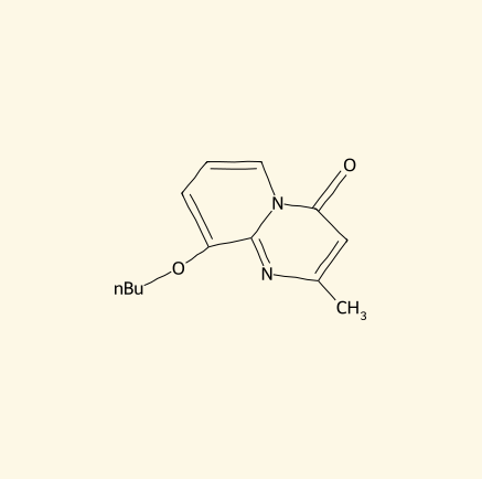 CCCCOc1cccn2c(=O)cc(C)nc12